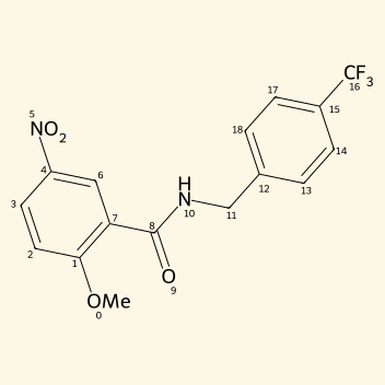 COc1ccc([N+](=O)[O-])cc1C(=O)NCc1ccc(C(F)(F)F)cc1